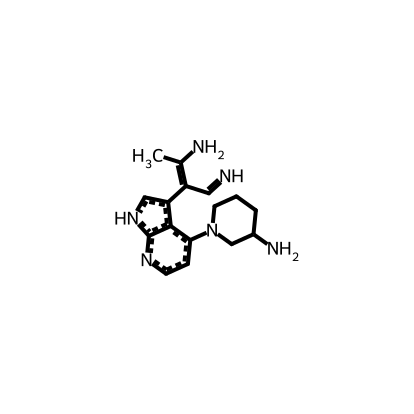 C/C(N)=C(/C=N)c1c[nH]c2nccc(N3CCCC(N)C3)c12